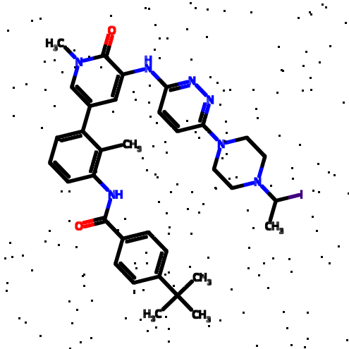 Cc1c(NC(=O)c2ccc(C(C)(C)C)cc2)cccc1-c1cc(Nc2ccc(N3CCN(C(C)I)CC3)nn2)c(=O)n(C)c1